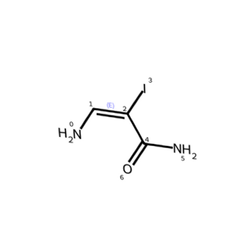 N/C=C(/I)C(N)=O